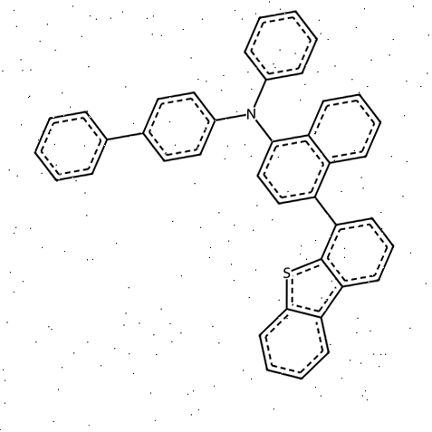 c1ccc(-c2ccc(N(c3ccccc3)c3ccc(-c4cccc5c4sc4ccccc45)c4ccccc34)cc2)cc1